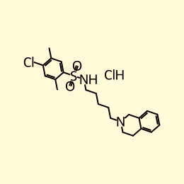 Cc1cc(S(=O)(=O)NCCCCCN2CCc3ccccc3C2)c(C)cc1Cl.Cl